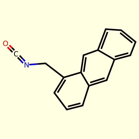 O=C=NCc1cccc2cc3ccccc3cc12